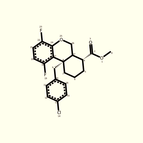 COC(=O)[C@@H]1CCC[C@@]2(Cc3ccc(Cl)cc3)c3c(F)ccc(F)c3OCC12